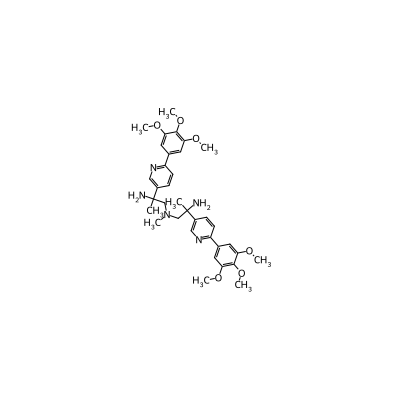 COc1cc(-c2ccc(C(C)(N)CN(C)CC(C)(N)c3ccc(-c4cc(OC)c(OC)c(OC)c4)nc3)cn2)cc(OC)c1OC